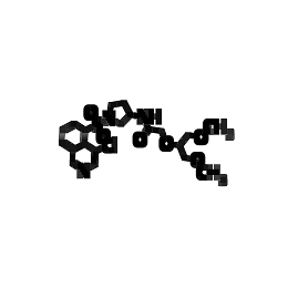 COCC(COC)OCC(=O)N[C@@H]1CCN(S(=O)(=O)c2cccc3cncc(Cl)c23)C1